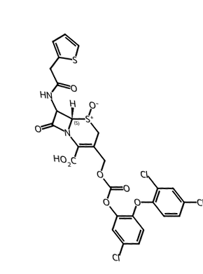 O=C(Cc1cccs1)NC1C(=O)N2C(C(=O)O)=C(COC(=O)Oc3cc(Cl)ccc3Oc3ccc(Cl)cc3Cl)C[S+]([O-])[C@@H]12